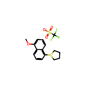 COc1cccc2c([S+]3CCCC3)cccc12.O=S(=O)([O-])C(F)(F)F